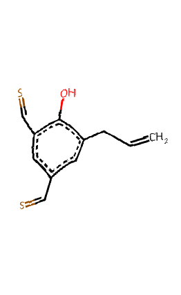 C=CCc1cc(C=S)cc(C=S)c1O